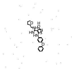 N=C(NCC1CCCO1)c1c(O)nsc1Nc1ccc(Oc2ccccc2)cc1